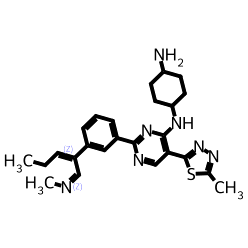 CC/C=C(\C=N/C)c1cccc(-c2ncc(-c3nnc(C)s3)c(NC3CCC(N)CC3)n2)c1